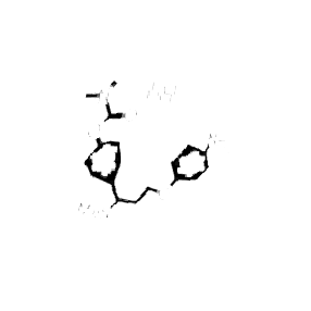 CNC(CCOc1ccc(N)cc1)c1ccc(OC(=O)N(C)C)cc1.Cl.Cl